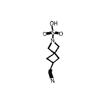 N#CC1CC2(C1)CN(S(=O)(=O)O)C2